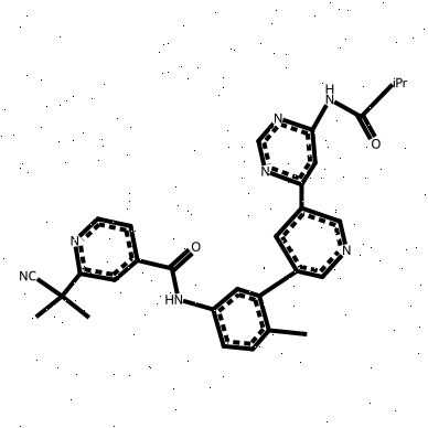 Cc1ccc(NC(=O)c2ccnc(C(C)(C)C#N)c2)cc1-c1cncc(-c2cc(NC(=O)C(C)C)ncn2)c1